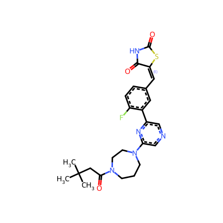 CC(C)(C)CC(=O)N1CCCN(c2cncc(-c3cc(/C=C4/SC(=O)NC4=O)ccc3F)n2)CC1